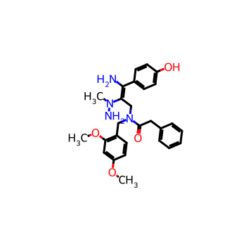 COc1ccc(CN(C/C(=C(/N)c2ccc(O)cc2)N(C)N)C(=O)Cc2ccccc2)c(OC)c1